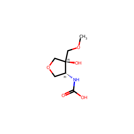 COC[C@@]1(O)COC[C@H]1NC(=O)O